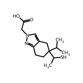 CC(C)C1(C(C)S)CCc2nn(CC(=O)O)cc2C1